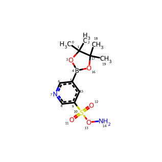 CC1(C)OB(c2cncc(S(=O)(=O)ON)c2)OC1(C)C